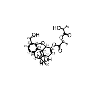 C[C@H](O)C(=O)O[C@@H](C)C(=O)OC1=CC[C@@]2(O)[C@H]3Cc4ccc(CO)c5c4C2(CCN3C)C1O5